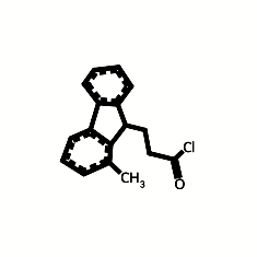 Cc1cccc2c1C(CCC(=O)Cl)c1ccccc1-2